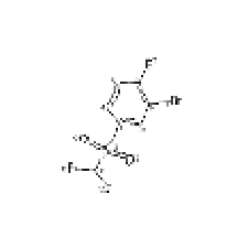 O=S(=O)(c1ccc(F)c(Br)c1)C(F)F